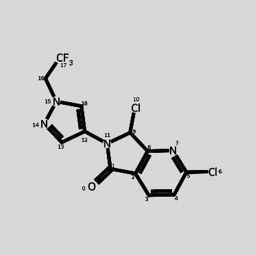 O=C1c2ccc(Cl)nc2C(Cl)N1c1cnn(CC(F)(F)F)c1